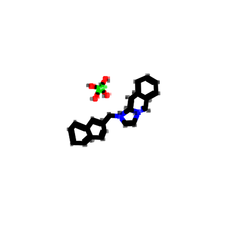 [O-][Cl+3]([O-])([O-])[O-].c1ccc2cc(Cn3cc[n+]4cc5ccccc5cc34)ccc2c1